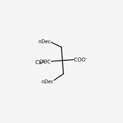 CCCCCCCCCCCC(CCCCCCCCCCC)(C(=O)[O-])C(=O)[O-].[Ca+2]